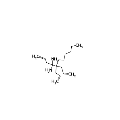 C=CCC(N)(N)C(CC=C)(CC=C)CCCCCC